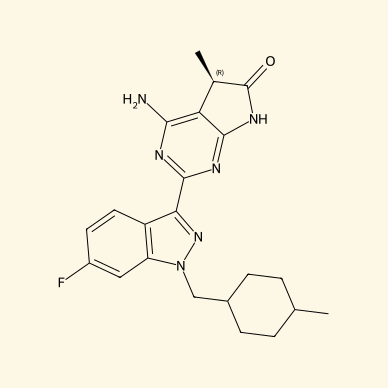 CC1CCC(Cn2nc(-c3nc(N)c4c(n3)NC(=O)[C@@H]4C)c3ccc(F)cc32)CC1